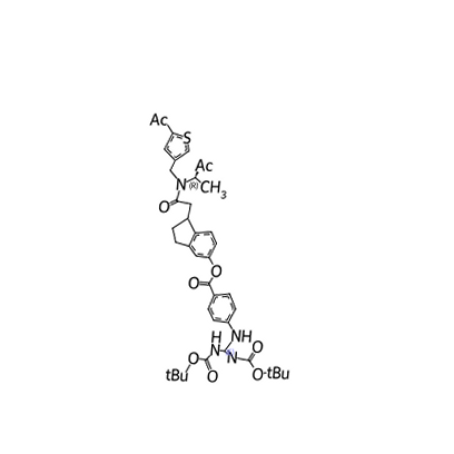 CC(=O)c1cc(CN(C(=O)CC2CCc3cc(OC(=O)c4ccc(N/C(=N\C(=O)OC(C)(C)C)NC(=O)OC(C)(C)C)cc4)ccc32)[C@H](C)C(C)=O)cs1